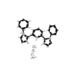 [Cl-].[Cl-].[Cl-].[Fe+3].c1ccc(-n2ccnc2-c2cccc(-c3nccn3-c3ccccc3)n2)cc1